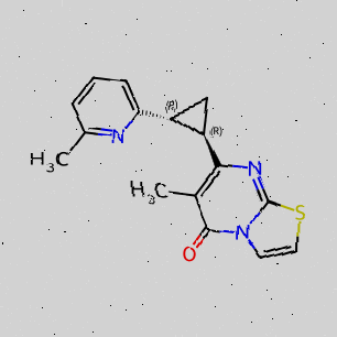 Cc1cccc([C@@H]2C[C@H]2c2nc3sccn3c(=O)c2C)n1